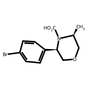 C[C@H]1COC[C@@H](c2ccc(Br)cc2)N1C(=O)O